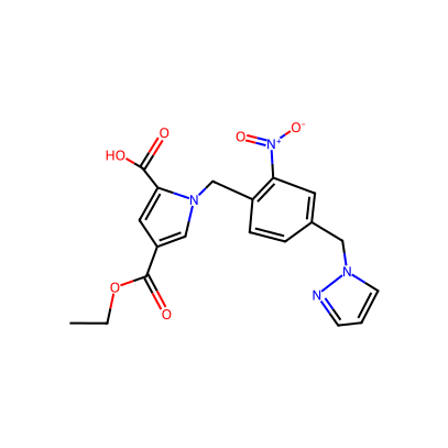 CCOC(=O)c1cc(C(=O)O)n(Cc2ccc(Cn3cccn3)cc2[N+](=O)[O-])c1